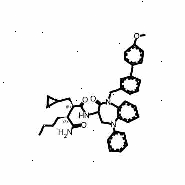 CCCC[C@H](C(N)=O)[C@@H](CC1CC1)C(=O)NC1CN(c2ccccc2)c2ccccc2N(Cc2cccc(-c3ccc(OC)cc3)c2)C1=O